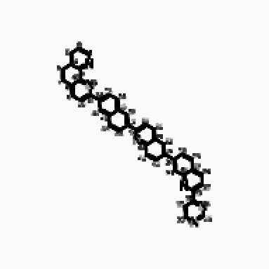 c1cnc2c(c1)ccc1ccc(-c3ccc4cc(-c5ccc6cc(-c7ccc8ccc(-c9ccncn9)nc8c7)ccc6n5)ccc4c3)nc12